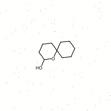 OC1CCCC2(CCCCC2)O1